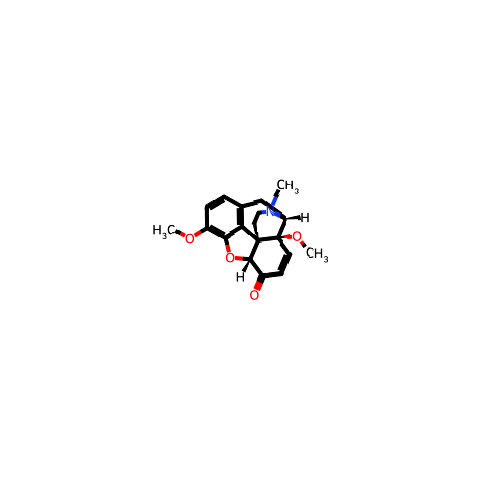 COc1ccc2c3c1O[C@H]1C(=O)C=C[C@@]4(OC)[C@@H](C2)N(C)CC[C@]314